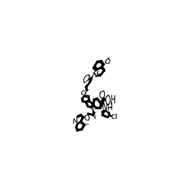 COc1cccc2c1CCN2C(=O)CCCOc1ccc2c(c1)C1(CCC(Nc3cccc(Cl)c3)(C(=O)O)CC1)[C@@H](C[C@@H](C)COc1ccnc3c1[C@H](C)CCC3)C2